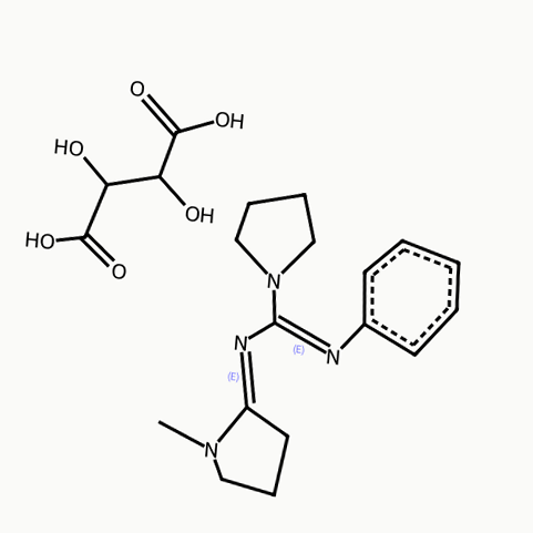 CN1CCC/C1=N\C(=N\c1ccccc1)N1CCCC1.O=C(O)C(O)C(O)C(=O)O